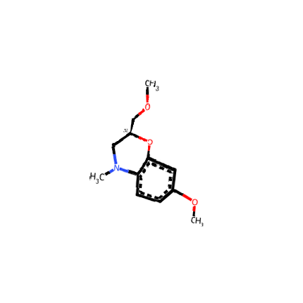 COC[C@@H]1CN(C)c2ccc(OC)cc2O1